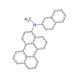 CN(c1ccc2ccccc2c1)c1ccc2c3cccc4cccc(c5cccc1c52)c43